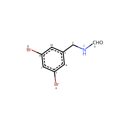 O=CNCc1cc(Br)cc(Br)c1